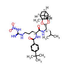 CC(C)C[C@H](NC(=O)[C@H](CCCNC(=N)N[N+](=O)[O-])NC(=O)c1ccc(C(C)(C)C)cc1)B1O[C@@H]2C[C@@H]3C[C@@H](C3(C)C)[C@]2(C)O1